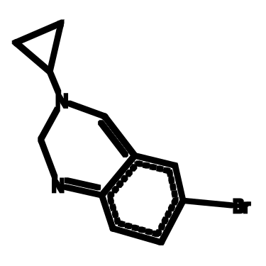 Brc1ccc2c(c1)=CN(C1CC1)CN=2